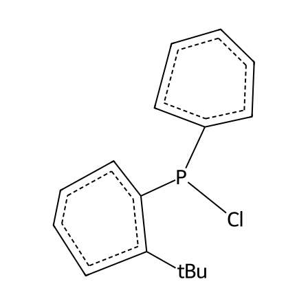 CC(C)(C)c1ccccc1P(Cl)c1ccccc1